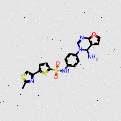 Cc1nc(-c2ccc(S(=O)(=O)Nc3ccc(N4C=Nc5occc5C4N)cc3)s2)cs1